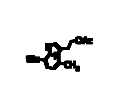 CC(=O)OCCc1cnc2c(C(C)(C)C)ccc(C)n12